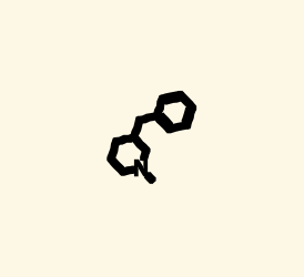 CN1CCCC(Cc2ccccc2)C1